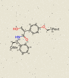 CCC[C@H](C)COc1ccc(C(=CO)C(=O)N[C@H](COC)c2ccccc2)cc1